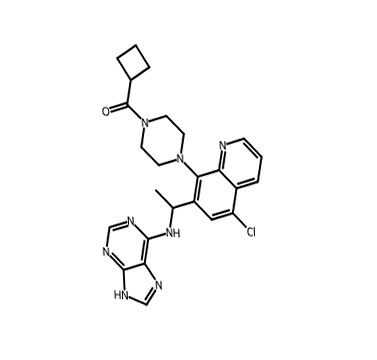 CC(Nc1ncnc2[nH]cnc12)c1cc(Cl)c2cccnc2c1N1CCN(C(=O)C2CCC2)CC1